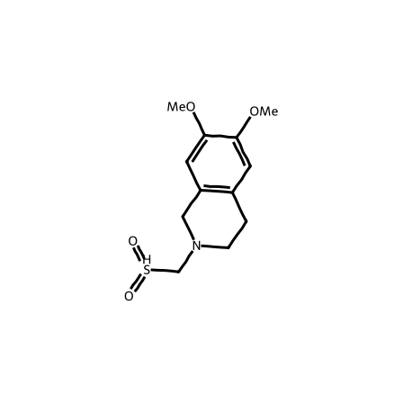 COc1cc2c(cc1OC)CN(C[SH](=O)=O)CC2